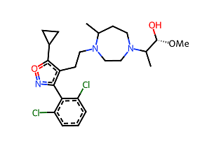 CO[C@@H](O)C(C)N1CCC(C)N(CCc2c(-c3c(Cl)cccc3Cl)noc2C2CC2)CC1